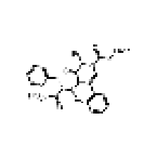 COCC(=O)N1C=C(c2ccccc2)N(N(C(C)=O)[C@@H](Cc2ccccc2)C(=O)C(=O)O)C(=O)[C@H]1C(C)C